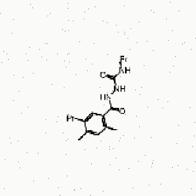 Cc1cc(C)c(C(C)C)cc1C(=O)NNC(=O)NC(C)C